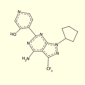 Nc1nc(-c2ccncc2O)nc2c1c(C(F)(F)F)nn2C1CCCC1